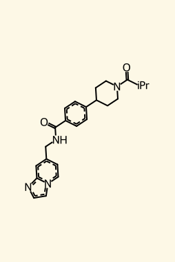 CC(C)C(=O)N1CCC(c2ccc(C(=O)NCc3ccn4ccnc4c3)cc2)CC1